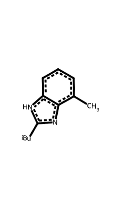 CCC(C)c1nc2c(C)cccc2[nH]1